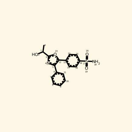 CC(O)c1nc(-c2ccccc2)c(-c2ccc(S(N)(=O)=O)cc2)o1